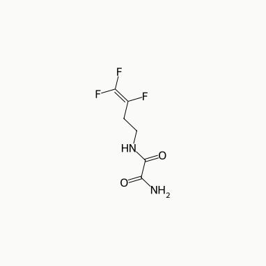 NC(=O)C(=O)NCCC(F)=C(F)F